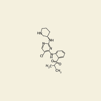 CC(C)S(=O)(=O)c1ccccc1Nc1nc(N[C@@H]2CCCNC2)ncc1Cl